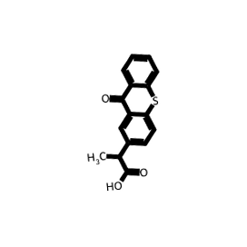 CC(C(=O)O)c1ccc2sc3ccccc3c(=O)c2c1